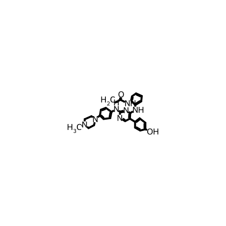 C=CC(=O)Nc1ccccc1Nc1nc(Nc2ccc(N3CCN(C)CC3)cc2)ncc1-c1ccc(O)cc1